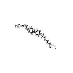 C=CCCCCCOc1ccc(N2CCN(CCCCCCCCCCCC)CC2)cc1